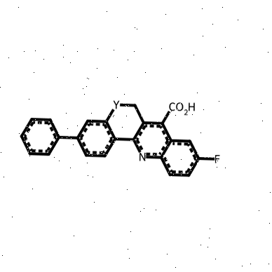 O=C(O)c1c2c(nc3ccc(F)cc13)-c1ccc(-c3ccccc3)c[c]1[Y][CH2]2